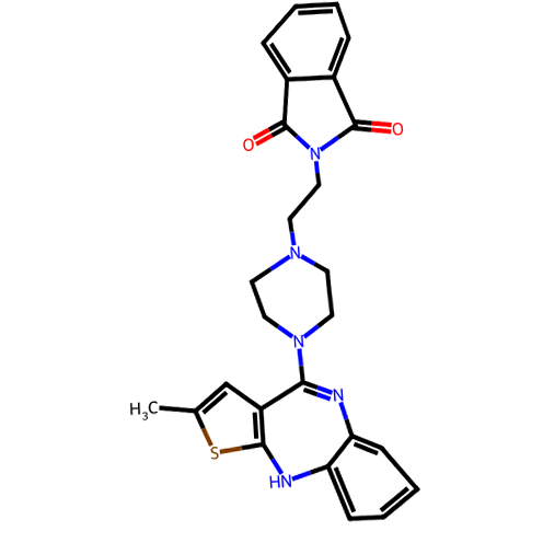 Cc1cc2c(s1)Nc1ccccc1N=C2N1CCN(CCN2C(=O)c3ccccc3C2=O)CC1